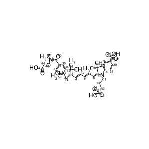 C=C1N=C(/C=C/C=C/C=C2/N(CCCS(=O)(=O)O)c3ccc(S(=O)(=O)O)cc3C2(C)C)C(C)(C)/C1=C/C(=C\C)C(=O)N(C)OCC(=O)O